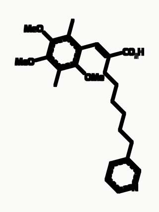 COc1c(C)c(OC)c(OC)c(C)c1C=C(CCCCCCc1cccnc1)C(=O)O